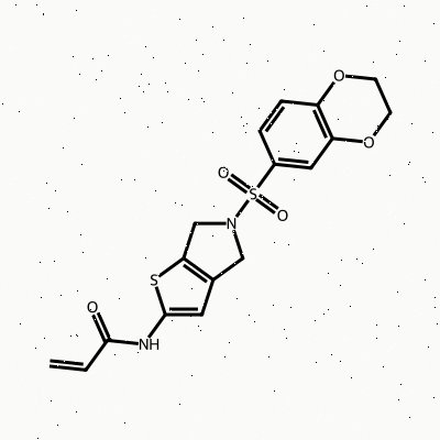 C=CC(=O)Nc1cc2c(s1)CN(S(=O)(=O)c1ccc3c(c1)OCCO3)C2